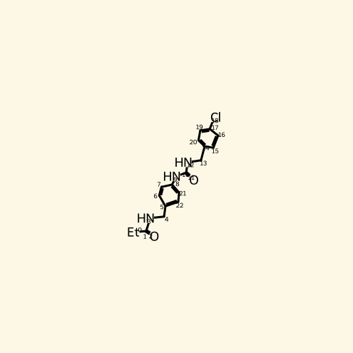 CCC(=O)NCc1ccc(NC(=O)NCc2ccc(Cl)cc2)cc1